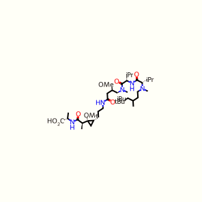 CC[C@H](C)[C@@H]([C@@H](CC(=O)NCCC[C@@H]1C[C@@]1(OC)[C@@H](C)C(=O)N[C@@H](C)C(=O)O)OC)N(C)C(=O)[C@@H](NC(=O)[C@H](C(C)C)N(C)CCC(C)CC(C)(C)C)C(C)C